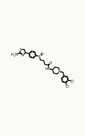 NC1=NC(c2ccc([S+]([O-])CCCC(=O)NC3CCN(Cc4ccc(Cl)c(Cl)c4)CC3)cc2)CS1